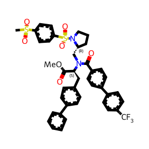 COC(=O)[C@H](Cc1ccc(-c2ccccc2)cc1)N(C[C@H]1CCCN1S(=O)(=O)c1ccc(S(C)(=O)=O)cc1)C(=O)c1ccc(-c2ccc(C(F)(F)F)cc2)cc1